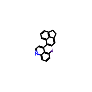 Ic1cccc2nccc(-c3ccc4c5c(cccc35)CC4)c12